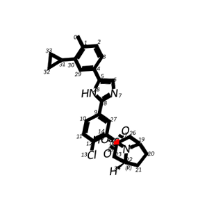 Cc1ccc(-c2cnc(-c3ccc(Cl)c(S(=O)(=O)N4C5CC[C@@H]4C[C@H](O)C5)c3)[nH]2)cc1C1CC1